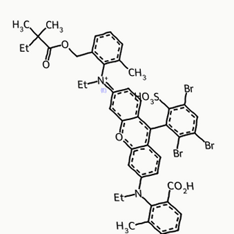 CCN(c1ccc2c(-c3c(Br)c(Br)cc(Br)c3S(=O)(=O)O)c3cc/c(=[N+](/CC)c4c(C)cccc4COC(=O)C(C)(C)CC)cc-3oc2c1)c1c(C)cccc1C(=O)O